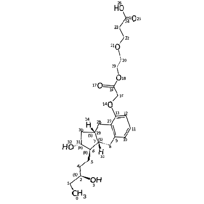 CC[C@H](O)CC[C@@H]1[C@H]2Cc3cccc(OCC(=O)OCCOCCC(=O)O)c3C[C@H]2C[C@H]1O